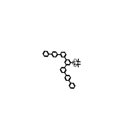 CC1(C)OB(c2cc(-c3cccc(-c4ccc(-c5ccccc5)cc4)c3)cc(-c3cccc(-c4ccc(-c5ccccc5)cc4)c3)c2)OC1(C)C